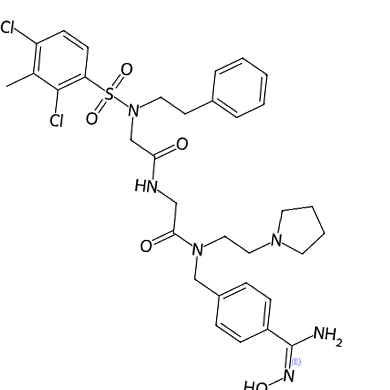 Cc1c(Cl)ccc(S(=O)(=O)N(CCc2ccccc2)CC(=O)NCC(=O)N(CCN2CCCC2)Cc2ccc(/C(N)=N\O)cc2)c1Cl